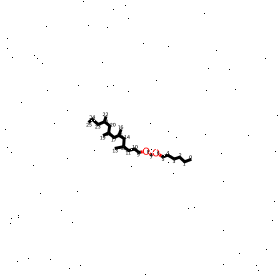 CCCCCCOCOCCCC(C)CC(C)CC(C)CC(C)CCC